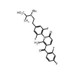 CC(C(=O)O)N(CCc1cc(F)c(-n2c(N)c(C(=O)c3ccc(F)cc3F)ccc2=O)c(F)c1)C(C)(C)C